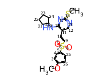 COc1ccc(S(=O)(=O)C=Cc2cnc(SC)nc2NC2CCCC2)cc1